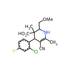 COCC1NC(C)=C(C#N)C(c2ccc(F)cc2Cl)C1(C)C(=O)O